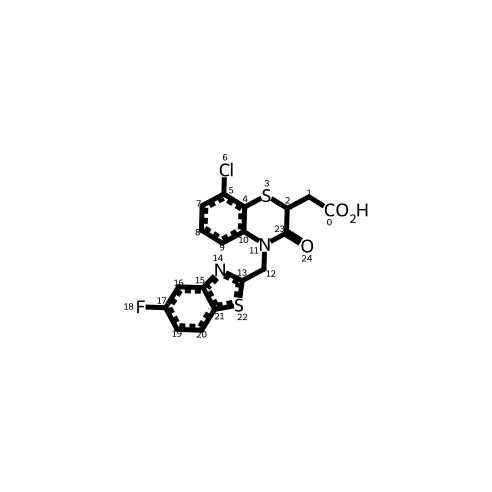 O=C(O)CC1Sc2c(Cl)cccc2N(Cc2nc3cc(F)ccc3s2)C1=O